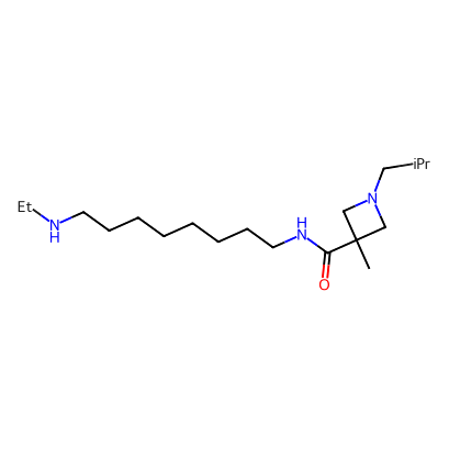 CCNCCCCCCCCNC(=O)C1(C)CN(CC(C)C)C1